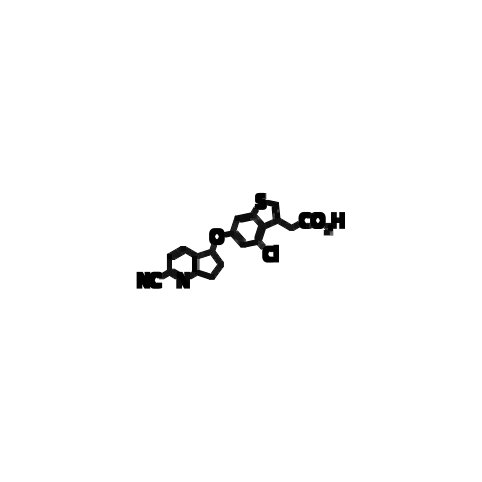 N#Cc1ccc2c(n1)CCC2Oc1cc(Cl)c2c(CC(=O)O)csc2c1